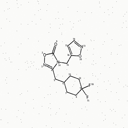 O=c1onc(CC2CCC(F)(F)CC2)n1Cc1ccno1